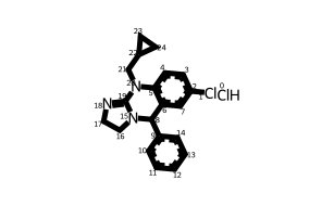 Cl.Clc1ccc2c(c1)C(c1ccccc1)N1CCN=C1N2CC1CC1